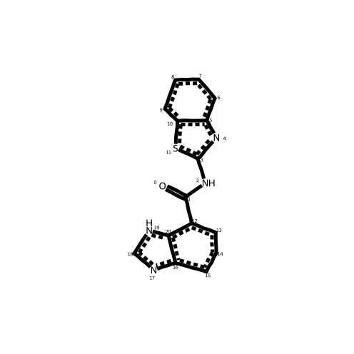 O=C(Nc1nc2ccccc2s1)c1cccc2n[c][nH]c12